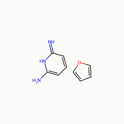 N=c1cccc(N)[nH]1.c1ccoc1